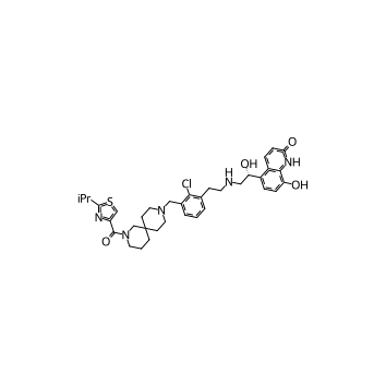 CC(C)c1nc(C(=O)N2CCCC3(CCN(Cc4cccc(CCNC[C@H](O)c5ccc(O)c6[nH]c(=O)ccc56)c4Cl)CC3)C2)cs1